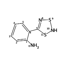 Nc1ccccc1C1=NSNS1